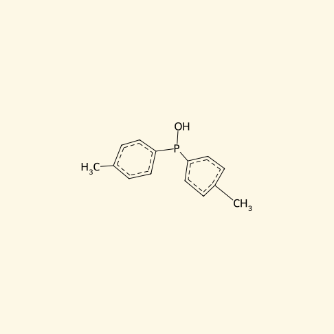 Cc1ccc(P(O)c2ccc(C)cc2)cc1